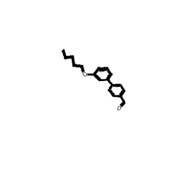 CCCCCOc1cccc(-c2ccc(C=O)cc2)c1